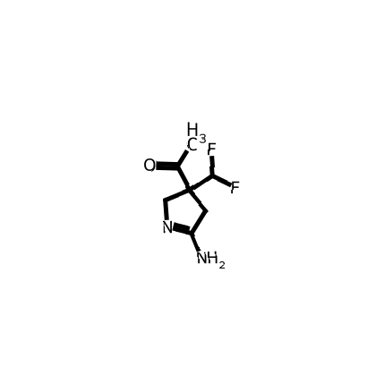 CC(=O)C1(C(F)F)CN=C(N)C1